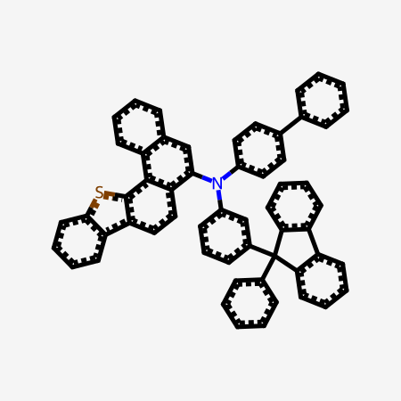 c1ccc(-c2ccc(N(c3cccc(C4(c5ccccc5)c5ccccc5-c5ccccc54)c3)c3cc4ccccc4c4c3ccc3c5ccccc5sc34)cc2)cc1